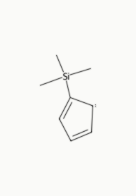 C[Si](C)(C)C1=CC=C[C]1